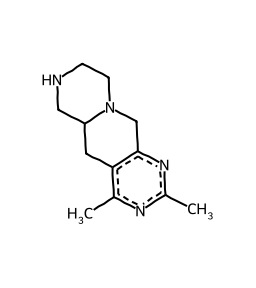 Cc1nc(C)c2c(n1)CN1CCNCC1C2